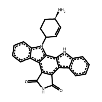 N[C@H]1C=CC(n2c3ccccc3c3c4c(c5c6ccccc6[nH]c5c32)C(=O)NC4=O)CC1